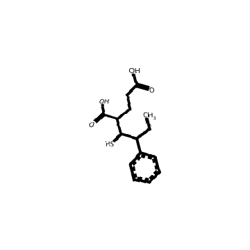 CCC(c1ccccc1)C(S)C(CCC(=O)O)C(=O)O